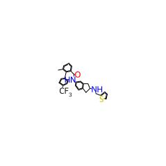 Cc1cccc(C(=O)Nc2ccc3c(c2)CC(NCc2cccs2)C3)c1-c1ccc(C(F)(F)F)cc1